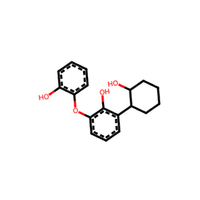 Oc1ccccc1Oc1cccc(C2CCCCC2O)c1O